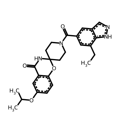 CCc1cc(C(=O)N2CCC3(CC2)NC(=O)c2cc(OC(C)C)ccc2O3)cc2cn[nH]c12